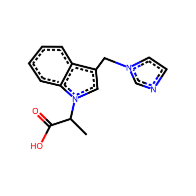 CC(C(=O)O)n1cc(Cn2ccnc2)c2ccccc21